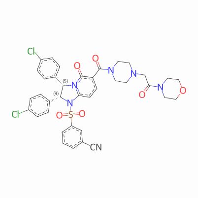 N#Cc1cccc(S(=O)(=O)N2c3ccc(C(=O)N4CCN(CC(=O)N5CCOCC5)CC4)c(=O)n3[C@@H](c3ccc(Cl)cc3)[C@H]2c2ccc(Cl)cc2)c1